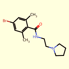 Cc1cc(Br)cc(C)c1C(=O)NCCN1CCCC1